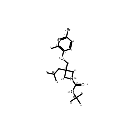 Cc1nc(Br)ccc1OCC1(CC(C)C)CN(C(=O)OC(C)(C)C)C1